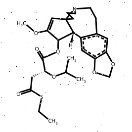 CCSC(=O)C[C@@H](OC(C)C)C(=O)OC1C(OC)=CC23CCCN2CCc2cc4c(cc2[C@H]13)OCO4